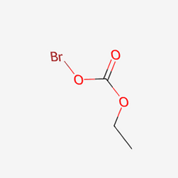 CCOC(=O)OBr